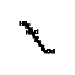 CCCCCCCCCCCCCCCC(Cl)NCCCO